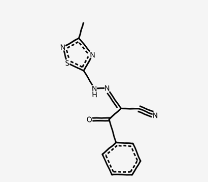 Cc1nsc(N/N=C(/C#N)C(=O)c2ccccc2)n1